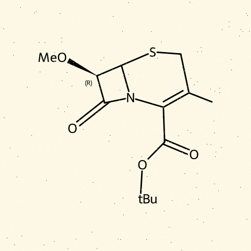 CO[C@@H]1C(=O)N2C(C(=O)OC(C)(C)C)=C(C)CSC12